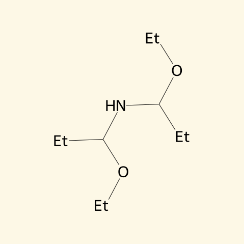 CCOC(CC)NC(CC)OCC